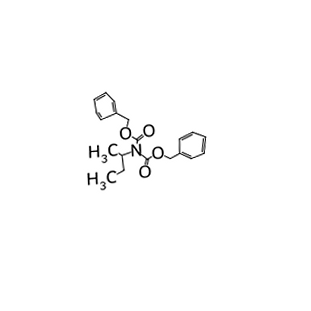 CCC(C)N(C(=O)OCc1ccccc1)C(=O)OCc1ccccc1